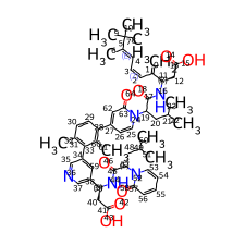 C=C(/C=C\C=C(/C)C(C)(C)C)[C@@H](CC(=O)O)NC(=O)C(CC(C)C)n1ccc(-c2ccc(C)c(-c3cncc([C@H](CC(=O)O)NC(=O)[C@H](CC(C)C)n4ccccc4=O)c3)c2C)cc1=O